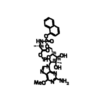 COc1nc(N)nc2c1ncn2C1O[C@H](COP(=O)(N[C@@H](C)C(=O)OC(C)C)Oc2cccc3ccccc23)[C@@H](O)[C@@]1(C)O